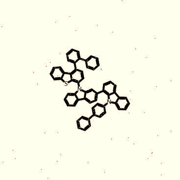 c1ccc(-c2ccc(-n3c4ccccc4c4cccc(-c5ccc6c7ccccc7n(-c7ccc(-c8ccccc8-c8ccccc8)c8c7sc7ccccc78)c6c5)c43)cc2)cc1